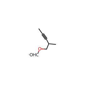 CC#CC(C)CO[C]=O